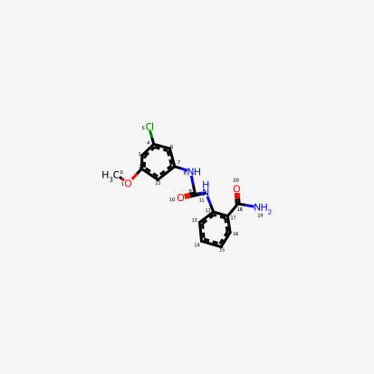 COc1cc(Cl)cc(NC(=O)Nc2ccccc2C(N)=O)c1